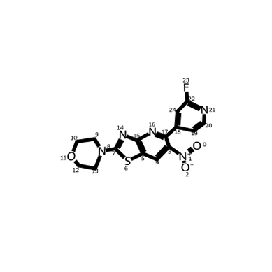 O=[N+]([O-])c1cc2sc(N3CCOCC3)nc2nc1-c1ccnc(F)c1